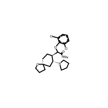 CNC(=O)C(Oc1c(Cl)cccc1Cl)[C@@H]1CC[C@@]2(CCCO2)C[C@H]1N1CCCC1